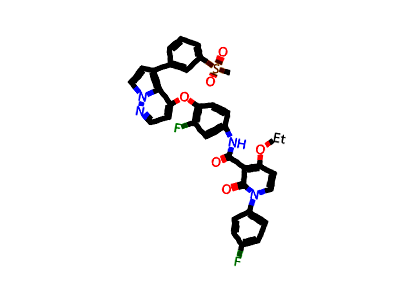 CCOc1ccn(-c2ccc(F)cc2)c(=O)c1C(=O)Nc1ccc(Oc2ccnn3ccc(-c4cccc(S(C)(=O)=O)c4)c23)c(F)c1